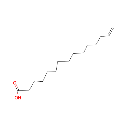 C=CCCCCCCCCCCCCC(=O)O